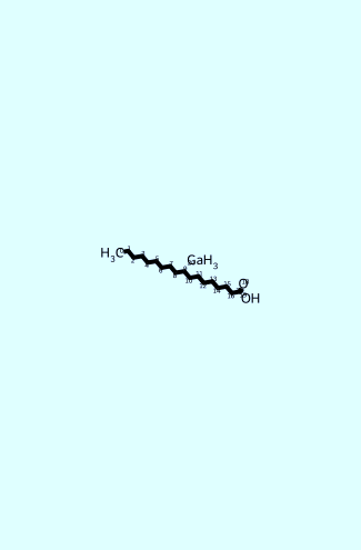 CCCCCCCCCCCCCCCCCC(=O)O.[GaH3]